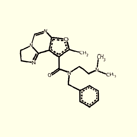 Cc1oc2c(c1C(=O)N(CCN(C)C)Cc1ccccc1)C1=NCCN1C=N2